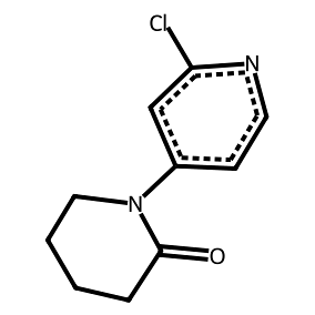 O=C1CCCCN1c1ccnc(Cl)c1